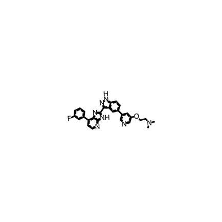 CN(C)CCOc1cncc(-c2ccc3[nH]nc(-c4nc5c(-c6cccc(F)c6)ccnc5[nH]4)c3c2)c1